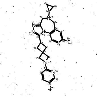 Fc1ccc(N2CC3(CC(c4nnc5n4-c4ccc(Cl)cc4CN(C4CC4)C5)C3)C2)nc1